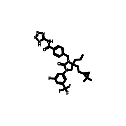 CCCC1(CCC2=CC2(C)C)CN(c2cc(F)cc(C(F)(F)F)c2)C(=O)N1Cc1ccc(C(=O)Nc2nnn[nH]2)cc1